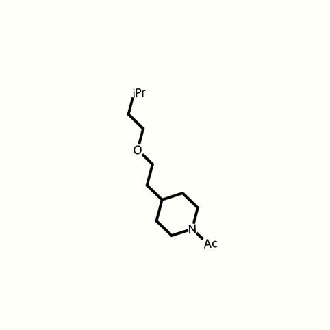 CC(=O)N1CCC(CCOCCC(C)C)CC1